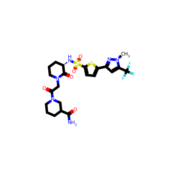 Cn1nc(-c2ccc(S(=O)(=O)N[C@H]3CCCN(CC(=O)N4CCCC(C(N)=O)C4)C3=O)s2)cc1C(F)(F)F